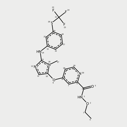 CCONC(=O)c1cc(Oc2cnc(Nc3cccc(SC(F)(F)F)c3)n2C)ccn1